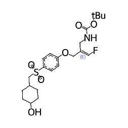 CC(C)(C)OC(=O)NC/C(=C\F)COc1ccc(S(=O)(=O)CC2CCC(O)CC2)cc1